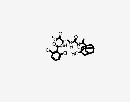 COC(=O)[C@H](CNC(=O)NC(C)C12CC3CC(CC(O)(C3)C1)C2)NC(=O)c1c(Cl)cccc1Cl